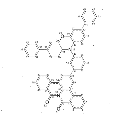 O=c1c2ccccc2c2cc(-c3cccc(N4c5ccc(-c6ccccc6)cc5OC5C=C(c6ccccc6)C=CC54)c3)cc3c4ccccc4c(=O)n1c23